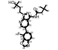 CC(C)(C)CC(=O)Nc1nn(CCC(C)(C)O)c2ncc(-c3ccc4ncoc4c3F)cc12